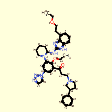 CCOCCc1cccc2[nH]c(NC3CCCCN3c3cc(-n4ccnn4)cc(C(=O)CCN4CCC(c5ccccc5)C4)c3OCC)nc12